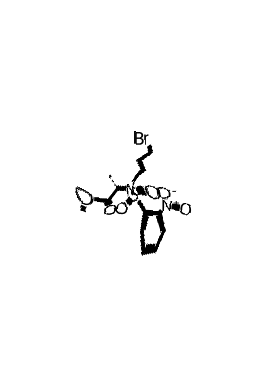 COC(=O)[C@H](C)N(CCCBr)S(=O)(=O)c1ccccc1[N+](=O)[O-]